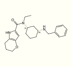 CCN(C(=O)c1cc2c([nH]1)CCCO2)[C@H]1CCC[C@@H](NCc2ccccc2)C1